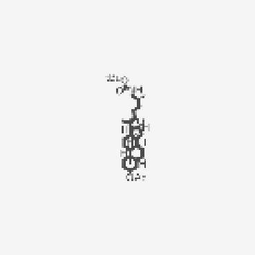 CC(=O)O[C@H]1CC[C@@]2(C)[C@@H](CC[C@@H]3[C@@H]2CC[C@@]2(C)[C@H]3C[C@@H]3OC(CC[C@H](C)CNC(=O)OC(C)(C)C)=C(C)[C@@H]32)C1